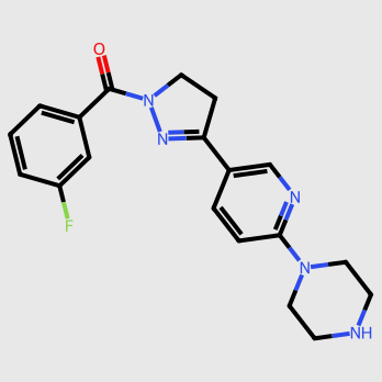 O=C(c1cccc(F)c1)N1CCC(c2ccc(N3CCNCC3)nc2)=N1